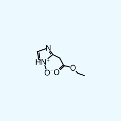 CCOC(=O)CC1=NC=C[NH+]1[O-]